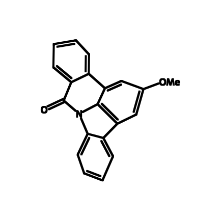 COc1cc2c3ccccc3c(=O)n3c4ccccc4c(c1)c23